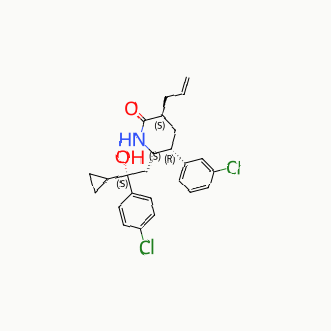 C=CC[C@H]1C[C@H](c2cccc(Cl)c2)[C@H](C[C@@](O)(c2ccc(Cl)cc2)C2CC2)NC1=O